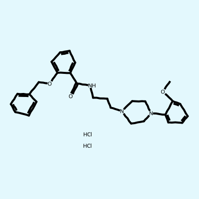 COc1ccccc1N1CCN(CCCNC(=O)c2ccccc2OCc2ccccc2)CC1.Cl.Cl